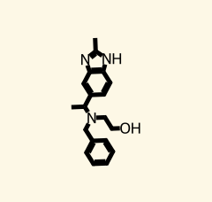 Cc1nc2cc(C(C)N(CCO)Cc3ccccc3)ccc2[nH]1